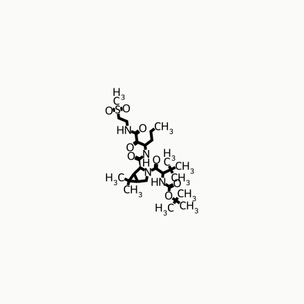 CCCC(NC(=O)[C@@H]1C2C(CN1C(=O)C(NC(=O)OC(C)(C)C)C(C)(C)C)C2(C)C)C(=O)C(=O)NCCS(C)(=O)=O